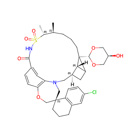 C[C@@H]1[C@@H](C)CCCC2([C@H]3OC[C@H](O)CO3)C3C[C@@H](CN4C[C@@]5(CCCc6cc(Cl)ccc65)COc5ccc(cc54)C(=O)NS1(=O)=O)[C@@H]32